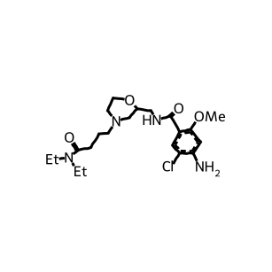 CCN(CC)C(=O)CCCN1CCOC(CNC(=O)c2cc(Cl)c(N)cc2OC)C1